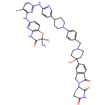 CC1(C)Oc2ccc(Nc3nc(Nc4ccc(C5CCN(c6ccc(CN7CCC(O)(c8ccc9c(c8)CN(C8CCC(=O)NC8=O)C9=O)CC7)cc6)CC5)cn4)ncc3F)nc2NC1=O